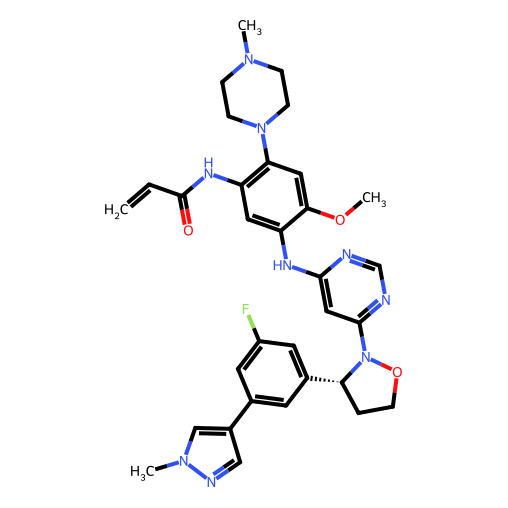 C=CC(=O)Nc1cc(Nc2cc(N3OCC[C@@H]3c3cc(F)cc(-c4cnn(C)c4)c3)ncn2)c(OC)cc1N1CCN(C)CC1